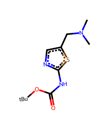 CN(C)Cc1cnc(NC(=O)OC(C)(C)C)s1